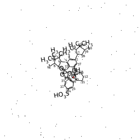 CC1C(c2cc(C3CC(I)C(C)(C)C3C)c(S(=O)(=O)Oc3ccc(S(=O)(=O)O)cc3)c(C3CC4CCC3C4(C)C)c2)CC(I)C1(C)C